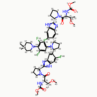 COC(=O)N[C@H](C(=O)N1CCC[C@H]1c1nc2cc([C@@H]3CC[C@@H](c4cc5nc([C@@H]6CCCN6C(=O)[C@@H](NC(=O)OC)[C@@H](C)OC)[nH]c5cc4F)N3c3cc(F)c(N4CC[Si](C)(C)CC4)c(F)c3)c(F)cc2[nH]1)[C@@H](C)OC